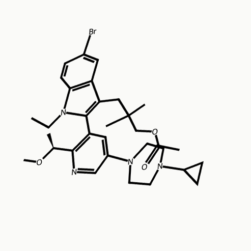 CCn1c(-c2cc(N3CCN(C4CC4)CC3)cnc2[C@H](C)OC)c(CC(C)(C)COC(C)=O)c2cc(Br)ccc21